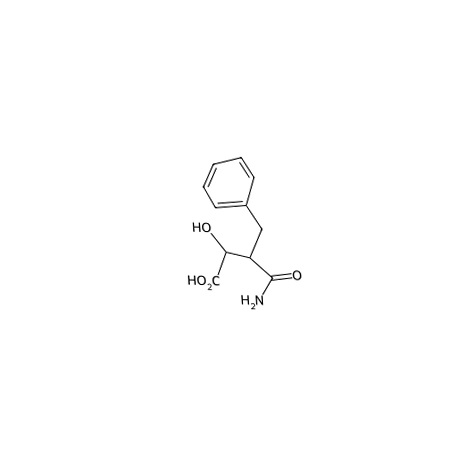 NC(=O)C(Cc1ccccc1)C(O)C(=O)O